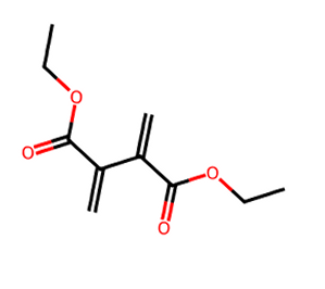 C=C(C(=C)C(=O)OCC)C(=O)OCC